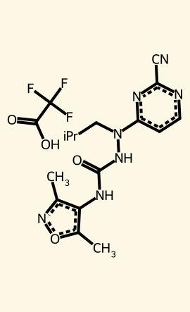 Cc1noc(C)c1NC(=O)NN(CC(C)C)c1ccnc(C#N)n1.O=C(O)C(F)(F)F